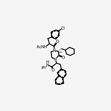 CC(=O)NC(Cc1ccc(Cl)cc1)C(=O)N1CCN(C(Cc2ccc3ccccc3c2)C(=O)NC(C)C)C(=O)[C@H]1CC1CCCCC1